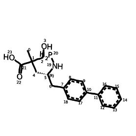 CC(CO)(C[C@@H](Cc1ccc(-c2ccccc2)cc1)NP)C(=O)O